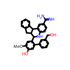 COc1cc(C2Nc3ccc(C(=N)N)cc3C3c4ccccc4CC23)c(-c2cccc(CO)c2)cc1O